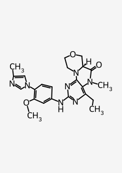 CCc1nc(Nc2ccc(-n3cnc(C)c3)c(OC)c2)nc2c1N(C)C(=O)[C@H]1COCCN21